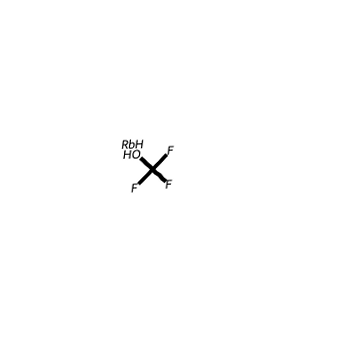 OC(F)(F)F.[RbH]